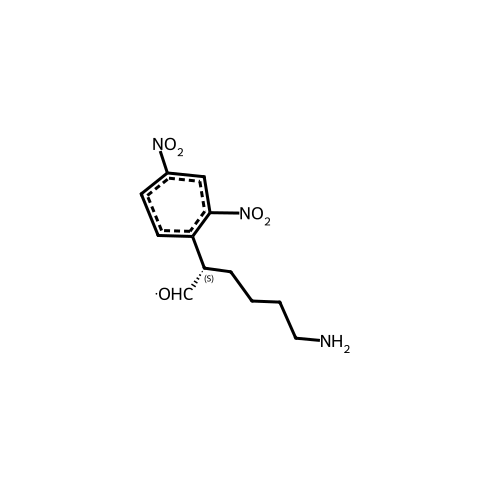 NCCCC[C@H]([C]=O)c1ccc([N+](=O)[O-])cc1[N+](=O)[O-]